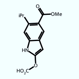 COC(=O)c1cc2cc(OC(=O)O)[nH]c2cc1C(C)C